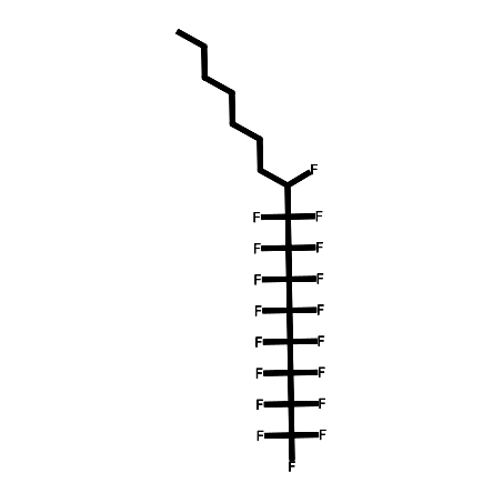 CCCCCCCC(F)C(F)(F)C(F)(F)C(F)(F)C(F)(F)C(F)(F)C(F)(F)C(F)(F)C(F)(F)F